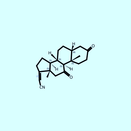 C[C@]12CCC(=O)C[C@H]1CC[C@@H]1[C@@H]2C(=O)C[C@]2(C)/C(=C\C#N)CC[C@@H]12